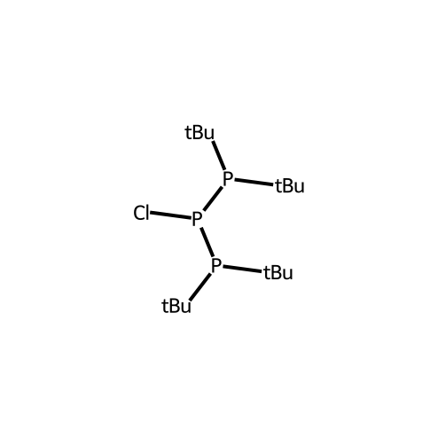 CC(C)(C)P(P(Cl)P(C(C)(C)C)C(C)(C)C)C(C)(C)C